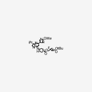 COc1ncc(-c2cc(NC3CCN(C(=O)OCC4(F)CN(C(=O)OC(C)(C)C)C4)CC3)n3ncc(C(C)C)c3n2)cn1